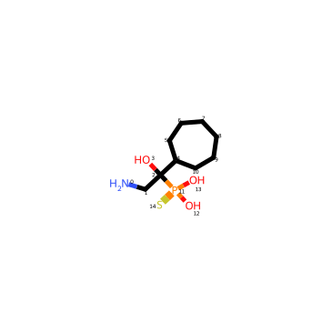 NCC(O)(C1CCCCCC1)P(O)(O)=S